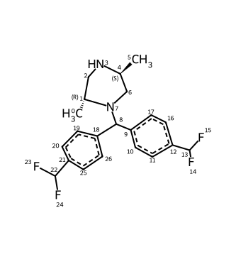 C[C@@H]1CN[C@@H](C)CN1C(c1ccc(C(F)F)cc1)c1ccc(C(F)F)cc1